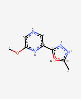 COc1cncc(-c2nnc(C)o2)n1